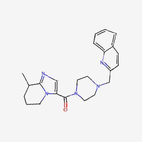 CC1CCCn2c(C(=O)N3CCN(Cc4ccc5ccccc5n4)CC3)[c]nc21